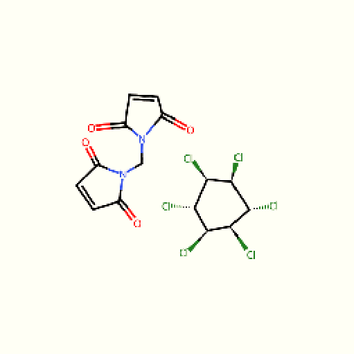 Cl[C@H]1[C@H](Cl)[C@@H](Cl)[C@@H](Cl)[C@H](Cl)[C@H]1Cl.O=C1C=CC(=O)N1CN1C(=O)C=CC1=O